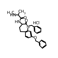 CNC(C)C(=O)NC1CCc2ccc(OCc3ccccc3)cc2N(Cc2ccccc2)C1=O.Cl